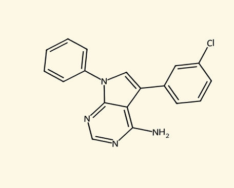 Nc1ncnc2c1c(-c1cccc(Cl)c1)cn2-c1ccccc1